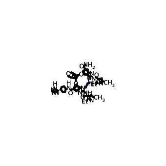 CCn1nc(C)cc1C(=O)Nc1nc2cc(C(N)=O)cc3c2n1C/C=C/Cn1c(NC(=O)c2cc(C)nn2CC)nc2cc(C(=O)N[C@H]4CC[C@H](c5nnn[nH]5)CC4)cc(c21)OCC(N1C2CCC1COC2)CO3